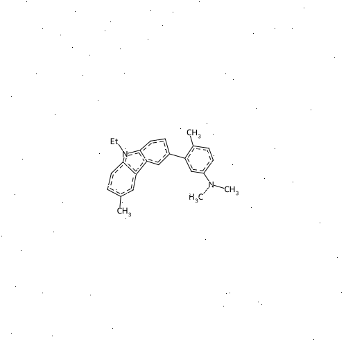 CCn1c2ccc(C)cc2c2cc(-c3cc(N(C)C)ccc3C)ccc21